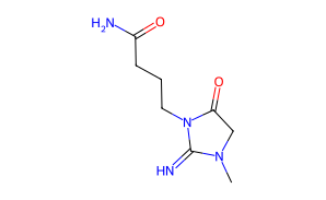 CN1CC(=O)N(CCCC(N)=O)C1=N